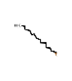 CC[CH]CCCCCCCCCCC=S